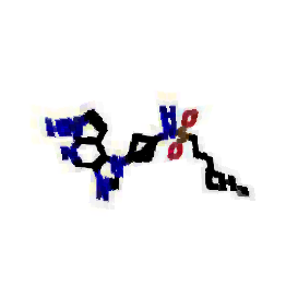 CCCCS(=O)(=O)NC12CC(n3cnc4cnc5[nH]ccc5c43)(C1)C2